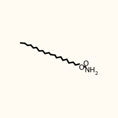 CCCCCCCCCCCCCCCCCCCCOC(N)=O